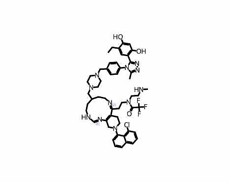 CCc1cc(-c2nnc(C)n2-c2ccc(CN3CCN(CC4CC/N=C(/CCN(CCNC)C(=O)C(F)(F)F)C5=C(CN(c6cccc7cccc(Cl)c67)CC5)/N=C/NCC4)CC3)cc2)c(O)cc1O